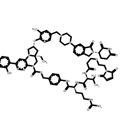 CC[C@@]12C[C@@H](Oc3ncc(CN4CCN(c5ccc6c(c5)C(=O)N([C@H]5CCC(=O)NC5=O)C6)CC4)cc3C)CN1c1cc(-c3ccccc3O)nnc1N(C(=O)OCc1ccc(NC(=O)[C@H](CCCNC(N)=O)NC(=O)[C@@H](NC(=O)CCOCCN3C(=O)C=CC3=O)C(C)C)cc1)C2